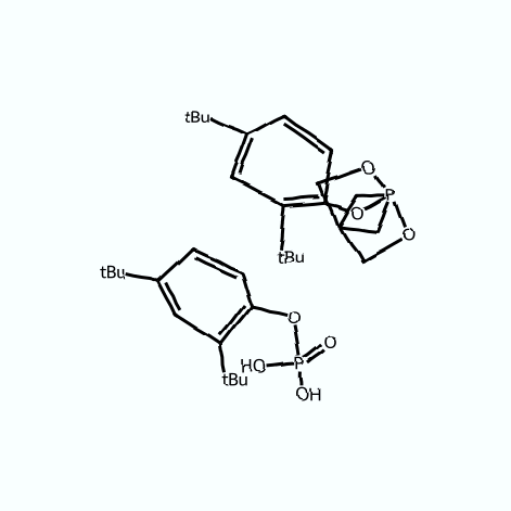 CC(C)(C)c1ccc(OP(=O)(O)O)c(C(C)(C)C)c1.CC(C)(C)c1ccc(OP234CC(CO2)(CO3)C4)c(C(C)(C)C)c1